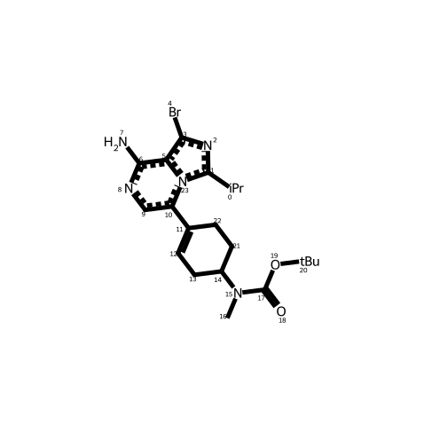 CC(C)c1nc(Br)c2c(N)ncc(C3=CCC(N(C)C(=O)OC(C)(C)C)CC3)n12